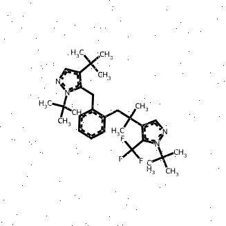 CC(C)(C)c1cnn(C(C)(C)C)c1Cc1ccccc1CC(C)(C)c1cnn(C(C)(C)C)c1C(F)(F)F